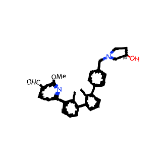 COc1nc(-c2cccc(-c3cccc(-c4ccc(CN5CC[C@@H](O)C5)cc4)c3C)c2C)ccc1C=O